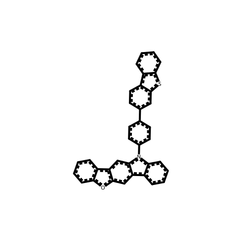 c1ccc2c(c1)oc1cc3c4ccccc4n(-c4ccc(-c5ccc6c(c5)sc5ccccc56)cc4)c3cc12